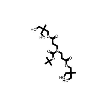 CC(CO)(CO)COC(=O)CCN(CCC(=O)OCC(C)(CO)CO)C(=O)OC(C)(C)C